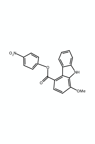 COc1ccc(C(=O)Oc2ccc([N+](=O)[O-])cc2)c2c1[nH]c1ccccc12